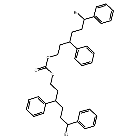 CCC(CCC(CCOC(=O)OCCC(CCC(CC)c1ccccc1)c1ccccc1)c1ccccc1)c1ccccc1